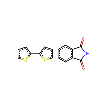 O=C1NC(=O)c2ccccc21.c1csc(-c2cccs2)c1